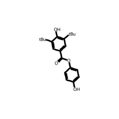 CC(C)(C)c1cc(C(=O)Oc2ccc(O)cc2)cc(C(C)(C)C)c1O